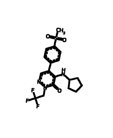 CS(=O)(=O)c1ccc(-c2cnn(CC(F)(F)F)c(=O)c2NC2CCCC2)cc1